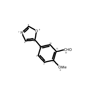 COc1ccc(-c2cnco2)cc1C=O